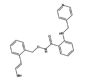 CC(C)(C)C=Cc1ccccc1CONC(=O)c1ccccc1NCc1ccncc1